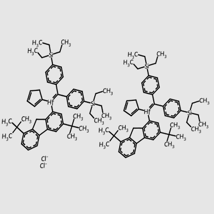 CC[Si](CC)(CC)c1ccc([C](c2ccc([Si](CC)(CC)CC)cc2)=[Hf]([C]2=CC=CC2)[c]2cc(C(C)(C)C)cc3c2Cc2c-3cccc2C(C)(C)C)cc1.CC[Si](CC)(CC)c1ccc([C](c2ccc([Si](CC)(CC)CC)cc2)=[Hf]([C]2=CC=CC2)[c]2cc(C(C)(C)C)cc3c2Cc2c-3cccc2C(C)(C)C)cc1.[Cl-].[Cl-]